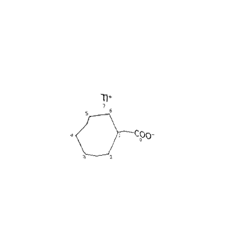 O=C([O-])C1CCCCC1.[Tl+]